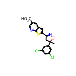 CC1(c2cc(Cl)cc(Cl)c2)CC(c2cc3cc(C(=O)O)cnc3s2)=NO1